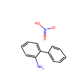 Nc1ccccc1-c1ccccc1.O=[N+]([O-])O